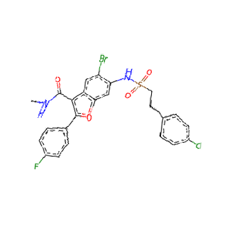 CNC(=O)c1c(-c2ccc(F)cc2)oc2cc(NS(=O)(=O)CCc3ccc(Cl)cc3)c(Br)cc12